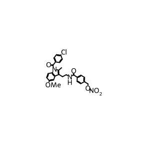 COc1ccc2c(c1)c(CCNC(=O)c1ccc(CO[N+](=O)[O-])cc1)c(C)n2C(=O)c1ccc(Cl)cc1